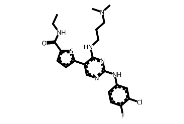 CCNC(=O)c1ccc(-c2cnc(Nc3ccc(F)c(Cl)c3)nc2NCCCN(C)C)s1